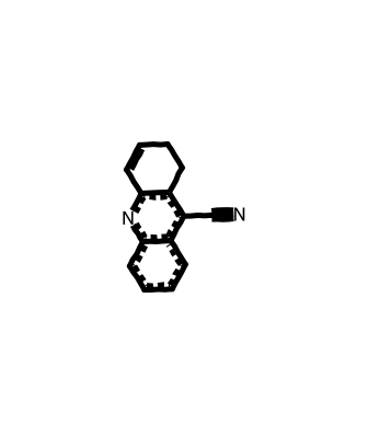 N#Cc1c2c(nc3ccccc13)C=CCC2